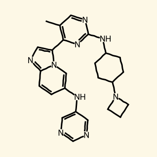 Cc1cnc(NC2CCC(N3CCC3)CC2)nc1-c1cnc2ccc(Nc3cncnc3)cn12